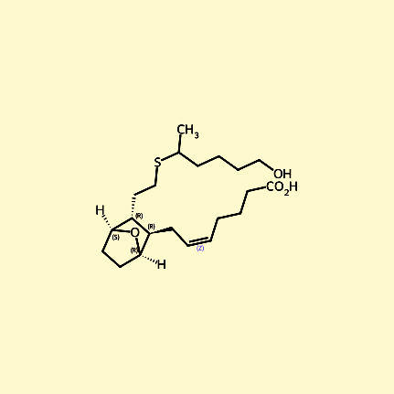 CC(CCCCO)SCC[C@@H]1[C@@H](C/C=C\CCCC(=O)O)[C@H]2CC[C@@H]1O2